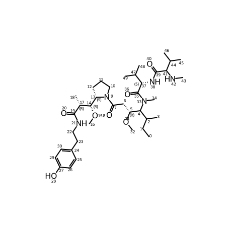 CCC(C)C([C@@H](CC(=O)N1CCC[C@H]1[C@H](OC)[C@@H](C)C(=O)NCCc1ccc(O)cc1)OC)N(C)C(=O)[C@@H](NC(=O)C(NC)C(C)C)C(C)C